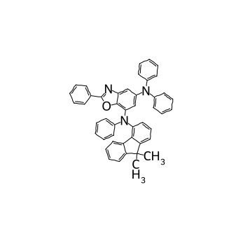 CC1(C)c2ccccc2-c2c(N(c3ccccc3)c3cc(N(c4ccccc4)c4ccccc4)cc4nc(-c5ccccc5)oc34)cccc21